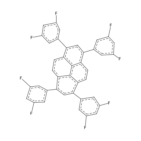 Fc1cc(F)cc(-c2cc(-c3cc(F)cc(F)c3)c3ccc4c(-c5cc(F)cc(F)c5)cc(-c5cc(F)cc(F)c5)c5ccc2c3c54)c1